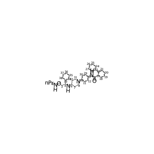 CCCNOCC(NC1CCN(c2ccc(NC(=O)c3ccccc3-c3ccccc3)cc2)CC1)c1ccccc1